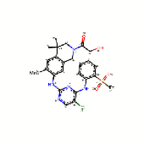 COc1cc2c(cc1Nc1ncc(Cl)c(Nc3ccccc3S(=O)(=O)C(C)C)n1)CN(C(=O)CO)CC2(C)C